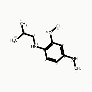 CNc1ccc(NCC(C)C)c(OC)c1